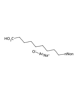 CC(=O)[O-].CCCCCCCCCCCCCCCCCC(=O)O.[Na+]